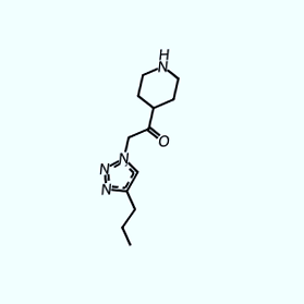 CCCc1cn(CC(=O)C2CCNCC2)nn1